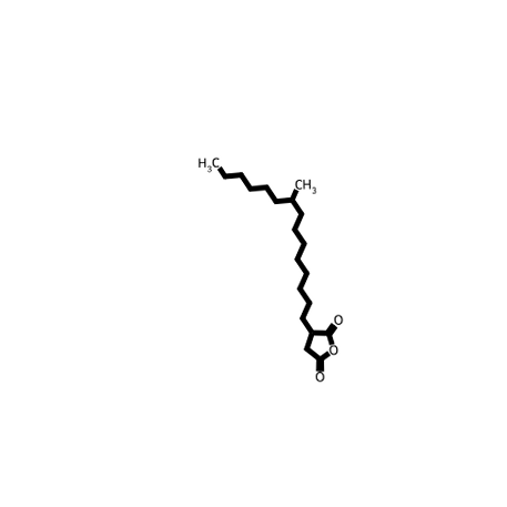 CCCCCCC(C)CCCCCCCCC1CC(=O)OC1=O